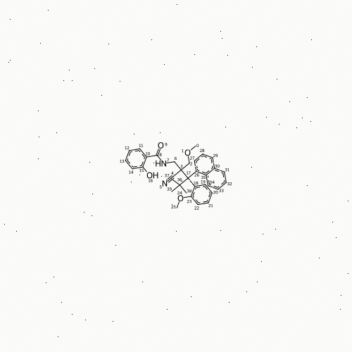 COCC(C#N)(CNC(=O)c1ccccc1O)C(c1ccccc1OC)(c1cccc2ccccc12)C(C)(C)C